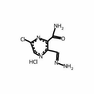 Cl.NN=Cc1ncc(Cl)nc1C(N)=O